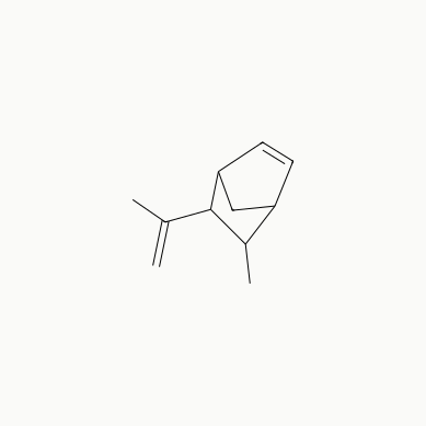 C=C(C)C1C2C=CC(C2)C1C